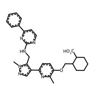 Cc1nc(-c2cnn(C)c2CNc2nccc(-c3ccccc3)n2)ccc1OCC1CCCCC1C(=O)O